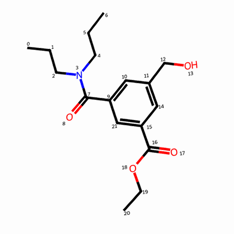 CCCN(CCC)C(=O)c1cc(CO)cc(C(=O)OCC)c1